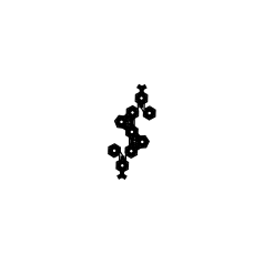 CC(C)c1ccc(N(c2ccccc2)c2ccc3c4cccc5c6cc7c(cc6n(c3c2)c45)c2cccc3c4ccc(N(c5ccccc5)c5ccc(C(C)C)cc5)cc4n7c32)cc1